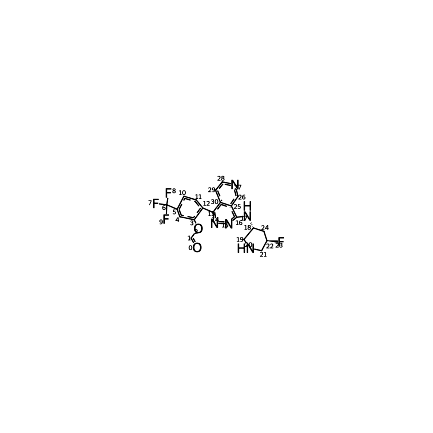 O=COc1cc(C(F)(F)F)ccc1-c1nnc(N[C@H]2CNC[C@H](F)C2)c2cnccc12